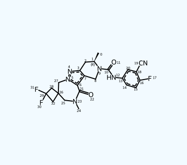 C[C@@H]1Cc2nn3c(c2CN1C(=O)Nc1ccc(F)c(C#N)c1)C(=O)N(C)CC1(C3)CC(F)(F)C1